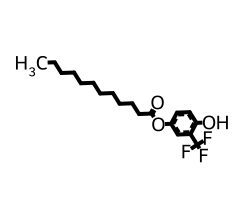 CCCCCCCCCCCC(=O)Oc1ccc(O)c(C(F)(F)F)c1